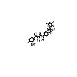 Cc1cc(C)nc(NS(=O)(=O)c2ccc(NC(=S)NC(=O)c3ccc(C)c(Br)c3)cc2)n1